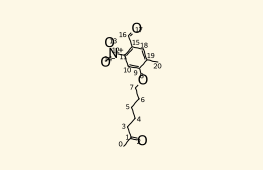 CC(=O)CCCCCOc1cc([N+](=O)[O-])c(C=O)cc1C